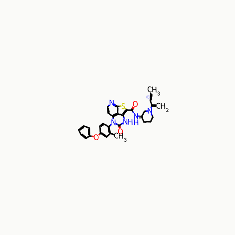 C=C(/C=C/C)N1CCC[C@@H](NC(=O)c2sc3nccc4c3c2NC(=O)N4c2ccc(Oc3ccccc3)cc2C)C1